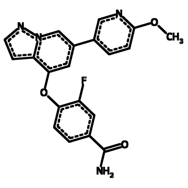 COc1ccc(-c2cc(Oc3ccc(C(N)=O)cc3F)c3ccnn3c2)cn1